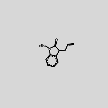 C=CCC1C(=O)N(CCCC)c2ccccc21